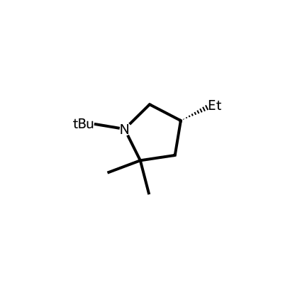 CC[C@H]1CN(C(C)(C)C)C(C)(C)C1